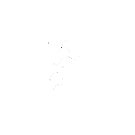 CCC1CC(C)(C)CN1S(=O)(=O)c1ccc(C)cc1